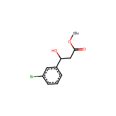 CC(C)(C)OC(=O)CC(O)c1cccc(Br)c1